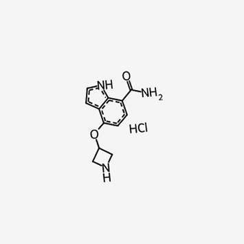 Cl.NC(=O)c1ccc(OC2CNC2)c2cc[nH]c12